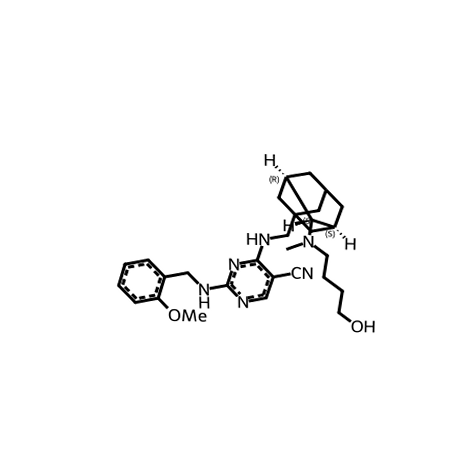 COc1ccccc1CNc1ncc(C#N)c(NCC23CC4C[C@H](C2)[C@@H](N(C)CCCCO)[C@@H](C4)C3)n1